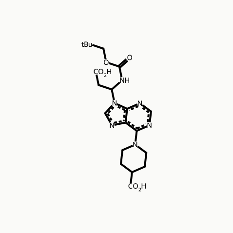 CC(C)(C)COC(=O)NC(CC(=O)O)n1cnc2c(N3CCC(C(=O)O)CC3)ncnc21